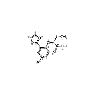 CC[C@H](Oc1ccc(Br)cc1-c1ccno1)C(=O)O